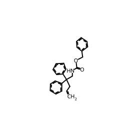 C=CCC(CNC(=O)OCc1ccccc1)(c1ccccc1)c1ccccc1